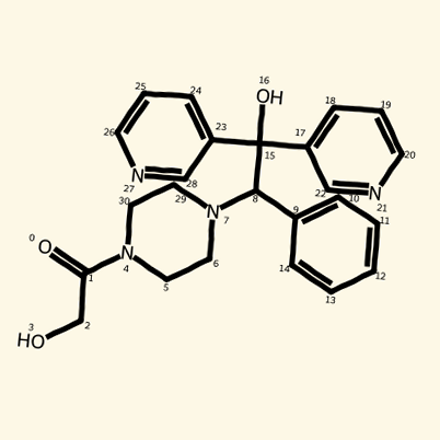 O=C(CO)N1CCN(C(c2ccccc2)C(O)(c2cccnc2)c2cccnc2)CC1